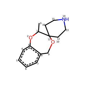 CC1Oc2ccccc2COC12CCNCC2